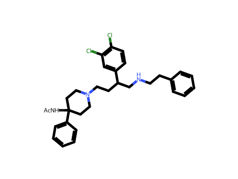 CC(=O)NC1(c2ccccc2)CCN(CCC(CNCCc2ccccc2)c2ccc(Cl)c(Cl)c2)CC1